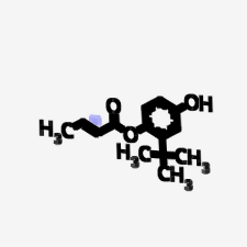 C/C=C/C(=O)Oc1ccc(O)cc1C(C)(C)C